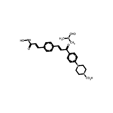 CN(C)C=O.O=C(/C=C/c1ccc(/C=C/C(=O)c2ccc(N3CCN(C(=O)O)CC3)cc2)cc1)NO